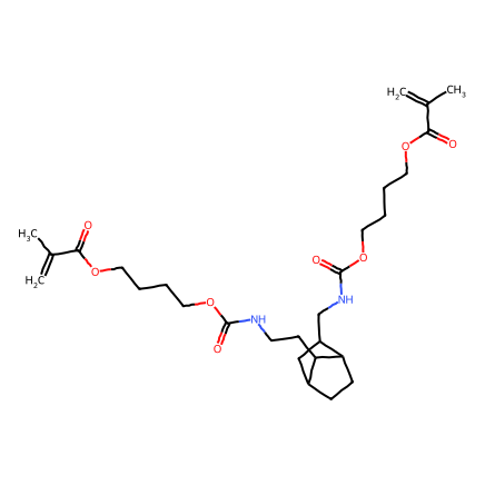 C=C(C)C(=O)OCCCCOC(=O)NCCC1C2CCC1C(CNC(=O)OCCCCOC(=O)C(=C)C)C2